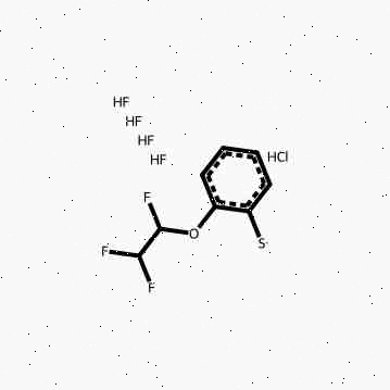 Cl.F.F.F.F.FC(F)C(F)Oc1ccccc1[S]